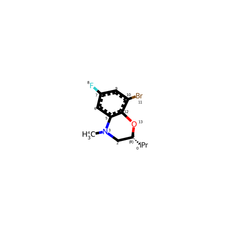 CC(C)[C@@H]1CN(C)c2cc(F)cc(Br)c2O1